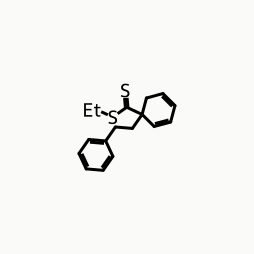 CCSC(=S)C1(CCc2ccccc2)C=CC=CC1